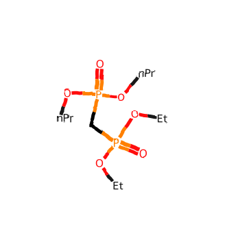 CCCOP(=O)(CP(=O)(OCC)OCC)OCCC